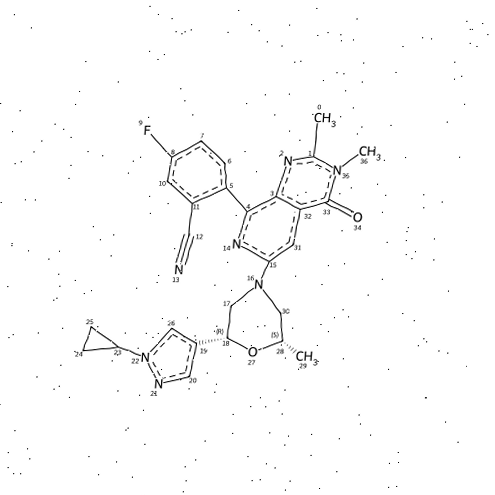 Cc1nc2c(-c3ccc(F)cc3C#N)nc(N3C[C@@H](c4cnn(C5CC5)c4)O[C@@H](C)C3)cc2c(=O)n1C